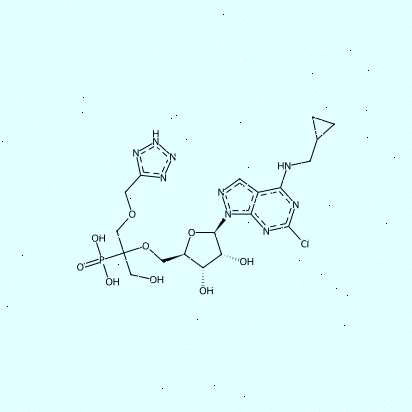 O=P(O)(O)C(CO)(COCc1nn[nH]n1)OC[C@H]1O[C@@H](n2ncc3c(NCC4CC4)nc(Cl)nc32)[C@H](O)[C@@H]1O